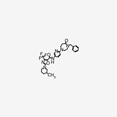 CC1CCCN(c2nc(C(F)(F)F)c(C(=O)Nc3ccc(N4CCC(=O)N(Cc5ccccc5)CC4)nc3)o2)C1